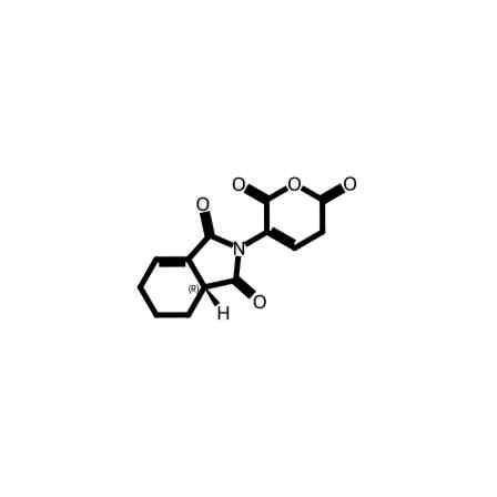 O=C1CC=C(N2C(=O)C3=CCCC[C@H]3C2=O)C(=O)O1